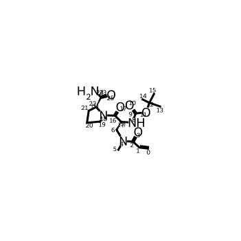 C=CC(=O)N(C)C[C@H](NC(=O)OC(C)(C)C)C(=O)N1CCC[C@H]1C(N)=O